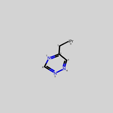 CC(C)Cc1cnncn1